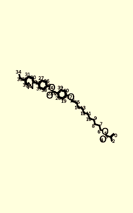 C=C(C)C(=O)OCCCCCCCCCCCOc1ccc(C(=O)Oc2ccc(-c3ccc(CC)cn3)cc2)cc1